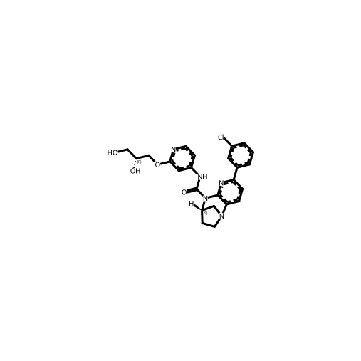 O=C(Nc1ccnc(OC[C@H](O)CO)c1)N1c2nc(-c3cccc(Cl)c3)ccc2N2CC[C@H]1C2